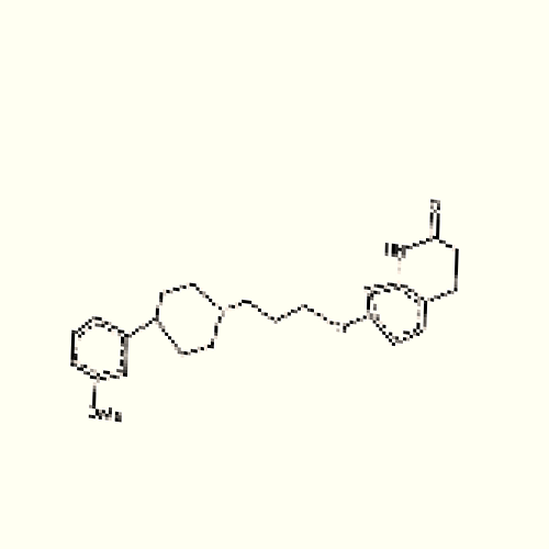 COc1cccc(C2CCN(CCCOc3ccc4c(c3)NC(=O)CC4)CC2)c1